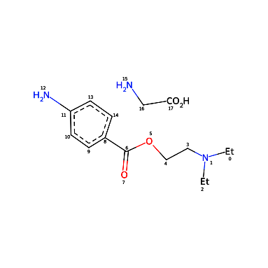 CCN(CC)CCOC(=O)c1ccc(N)cc1.NCC(=O)O